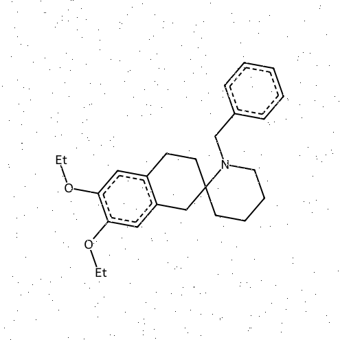 CCOc1cc2c(cc1OCC)CC1(CCCCN1Cc1ccccc1)CC2